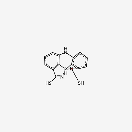 SC1=N[PH]23N=C(S)c4cccc(c42)Nc2cccc1c23